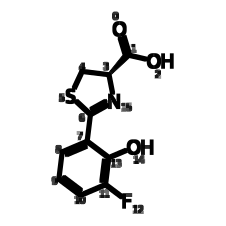 O=C(O)[C@@H]1CSC(c2cccc(F)c2O)=N1